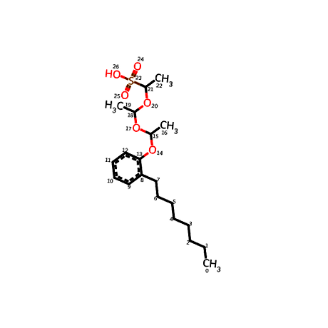 CCCCCCCCc1ccccc1OC(C)OC(C)OC(C)S(=O)(=O)O